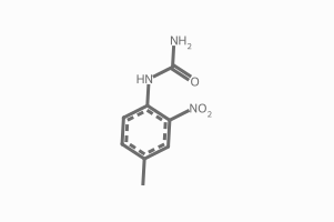 Cc1ccc(NC(N)=O)c([N+](=O)[O-])c1